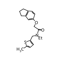 CCN(Cc1ccc(C)s1)C(=O)COc1ccc2c(c1)CCC2